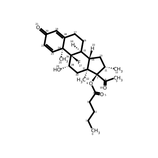 CCCCC(=O)O[C@]1(C(C)=O)[C@@H](C)C[C@H]2[C@@H]3CCC4=CC(=O)C=C[C@]4(C)[C@@]3(F)[C@@H](O)C[C@@]21C